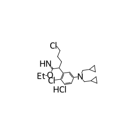 CCOC(=N)C(CCCCl)c1cc(N(CC2CC2)CC2CC2)ccc1Cl.Cl